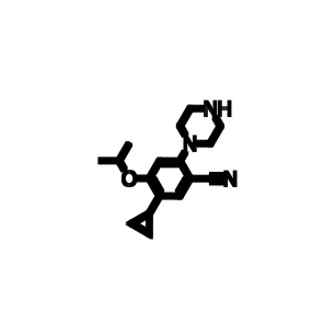 CC(C)Oc1cc(N2CCNCC2)c(C#N)cc1C1CC1